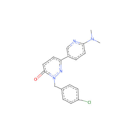 CN(C)c1ccc(-c2ccc(=O)n(Cc3ccc(Cl)cc3)n2)cn1